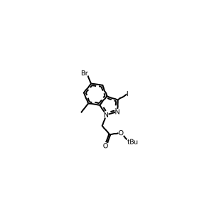 Cc1cc(Br)cc2c(I)nn(CC(=O)OC(C)(C)C)c12